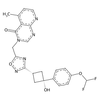 Cc1ccnc2ncn(Cc3nc([C@H]4C[C@](O)(c5ccc(OC(F)F)cc5)C4)no3)c(=O)c12